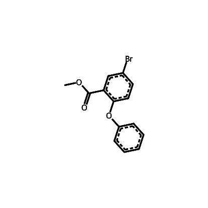 COC(=O)c1cc(Br)ccc1Oc1ccccc1